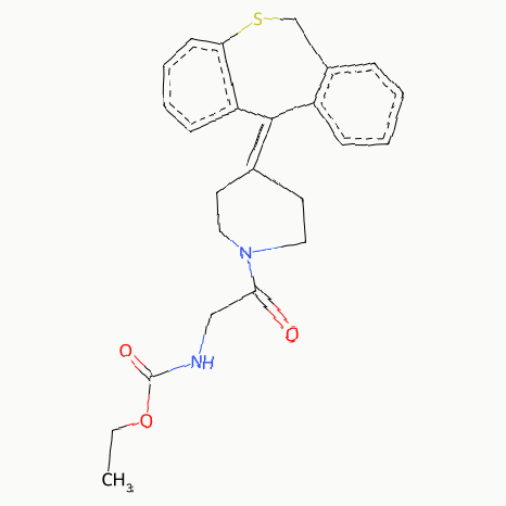 CCOC(=O)NCC(=O)N1CCC(=C2c3ccccc3CSc3ccccc32)CC1